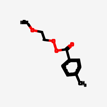 CCCCOC[CH]OOC(=O)c1ccc(C)cc1